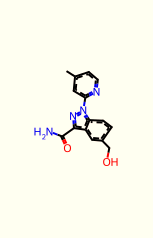 Cc1ccnc(-n2nc(C(N)=O)c3cc(CO)ccc32)c1